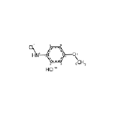 COc1ccc(NCl)cc1.Cl